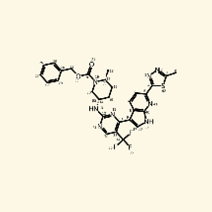 Cc1nnc(-c2ccc3c(-c4nc(N[C@H]5CC[C@H](C)N(C(=O)OCc6ccccc6)C5)ncc4C(F)(F)F)c[nH]c3n2)s1